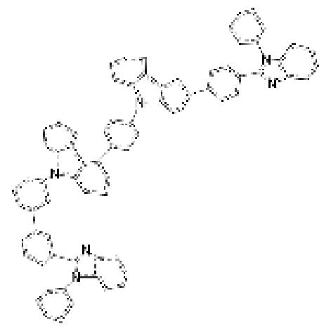 c1ccc(-n2c(-c3ccc(-c4ccc5c(c4)c4ccccc4n5-c4ccc(-c5cccc6c5c5ccccc5n6-c5cccc(-c6cccc(-c7nc8ccccc8n7-c7ccccc7)c6)c5)cc4)cc3)nc3ccccc32)cc1